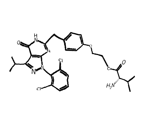 CC(C)c1nn(-c2c(Cl)cccc2Cl)c2nc(Cc3ccc(OCCOC(=O)[C@@H](N)C(C)C)cc3)[nH]c(=O)c12